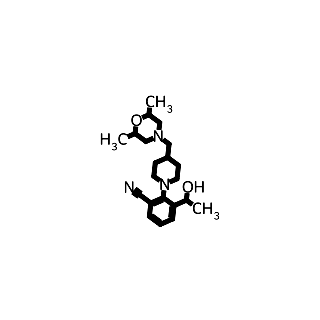 CC1CN(CC2CCN(c3c(C#N)cccc3C(C)O)CC2)CC(C)O1